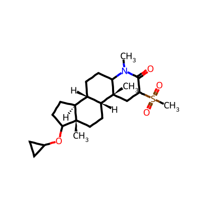 CN1C(=O)C(S(C)(=O)=O)C[C@@]2(C)C1CC[C@@H]1[C@H]2CC[C@]2(C)C(OC3CC3)CC[C@@H]12